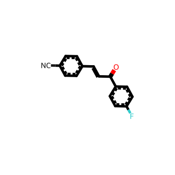 N#Cc1ccc(/C=C/C(=O)c2ccc(F)cc2)cc1